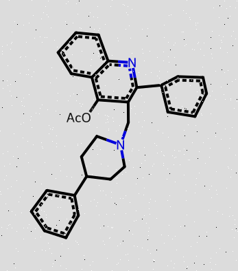 CC(=O)Oc1c(CN2CCC(c3ccccc3)CC2)c(-c2ccccc2)nc2ccccc12